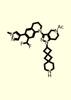 CC(=O)N1CCc2c(c(N3CCCc4cc(-c5cnn(C)c5)c(C(F)F)cc43)nn2C2CC3(C2)CC2(CCNCC2)C3)C1